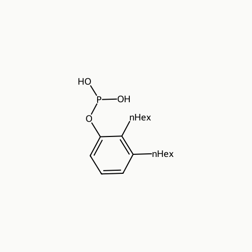 CCCCCCc1cccc(OP(O)O)c1CCCCCC